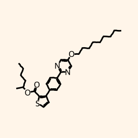 CCCCCCCCCOc1cnc(-c2ccc(-c3ccsc3C(=O)OC(C)CCCC)cc2)nc1